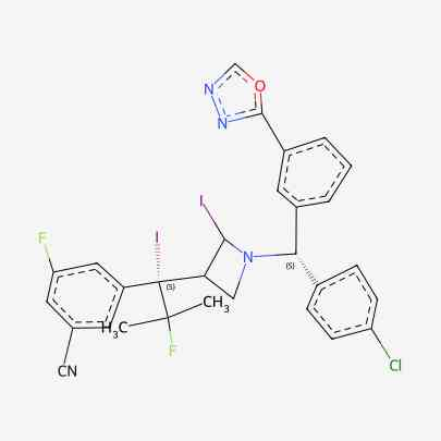 CC(C)(F)[C@@](I)(c1cc(F)cc(C#N)c1)C1CN([C@@H](c2ccc(Cl)cc2)c2cccc(-c3nnco3)c2)C1I